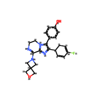 Oc1ccc(-c2c(C3C=CC(F)=CC3)nc3n2CCN=C3N2CC3(COC3)C2)cc1